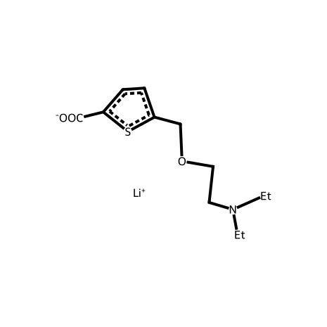 CCN(CC)CCOCc1ccc(C(=O)[O-])s1.[Li+]